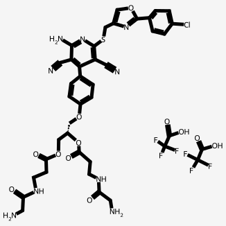 N#Cc1c(N)nc(SCc2coc(-c3ccc(Cl)cc3)n2)c(C#N)c1-c1ccc(OC[C@@H](COC(=O)CCNC(=O)CN)OC(=O)CCNC(=O)CN)cc1.O=C(O)C(F)(F)F.O=C(O)C(F)(F)F